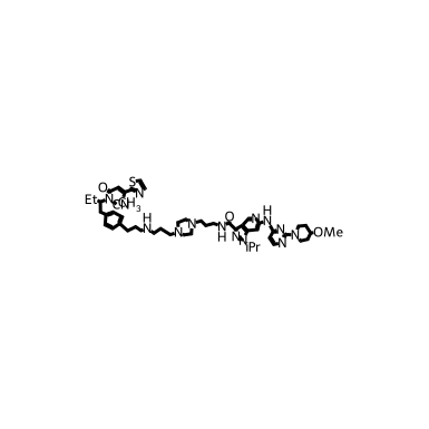 CCC(Cc1ccc(CCCNCCCN2CCN(CCCNC(=O)c3nn(C(C)C)c4cc(Nc5ccnc(N6CCC(OC)CC6)n5)ncc34)CC2)cc1)N(C#N)C(=O)/C=C(\C)c1nccs1